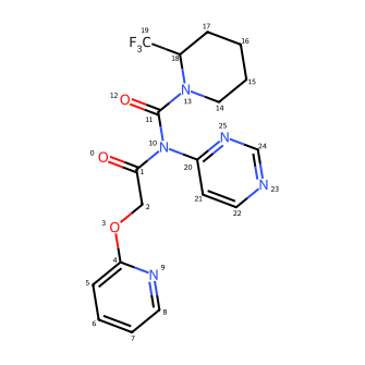 O=C(COc1ccccn1)N(C(=O)N1CCCCC1C(F)(F)F)c1ccncn1